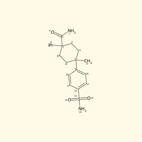 CC(C)C1(C(N)=O)CCC(C)(c2ccc(S(N)(=O)=O)cc2)CC1